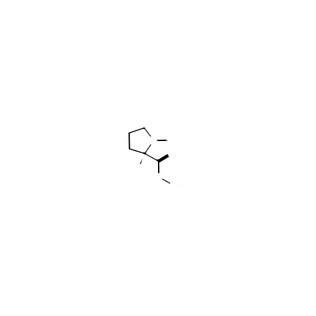 CCCCCN1CCC[C@@]1(N)C(=O)NC(C)(C)C